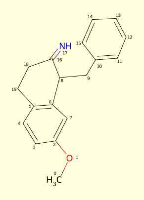 COc1ccc2c(c1)C(Cc1ccccc1)C(=N)CC2